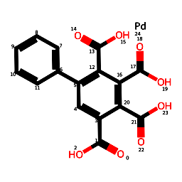 O=C(O)c1cc(-c2ccccc2)c(C(=O)O)c(C(=O)O)c1C(=O)O.[Pd]